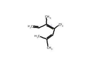 C=C/C(C)=C(\C=C(C)C)C(F)(F)F